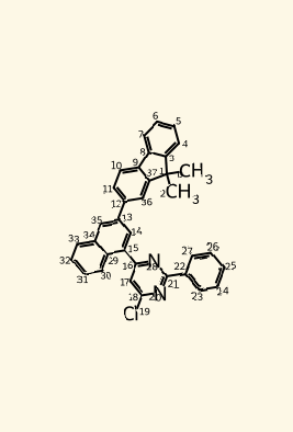 CC1(C)c2ccccc2-c2ccc(-c3cc(-c4cc(Cl)nc(-c5ccccc5)n4)c4ccccc4c3)cc21